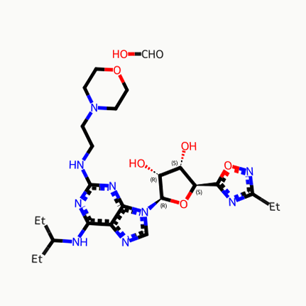 CCc1noc([C@H]2O[C@@H](n3cnc4c(NC(CC)CC)nc(NCCN5CCOCC5)nc43)[C@H](O)[C@@H]2O)n1.O=CO